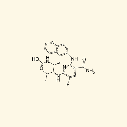 CC(C)[C@H](Nc1nc(Nc2ccc3ncccc3c2)c(C(N)=O)cc1F)[C@H](C)NC(=O)O